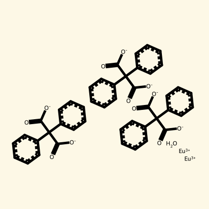 O.O=C([O-])C(C(=O)[O-])(c1ccccc1)c1ccccc1.O=C([O-])C(C(=O)[O-])(c1ccccc1)c1ccccc1.O=C([O-])C(C(=O)[O-])(c1ccccc1)c1ccccc1.[Eu+3].[Eu+3]